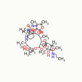 CCCNC[C@]1(O)[C@H](C)O[C@@H](OC2C(C)C(=O)OC(CC)C(C)(O)C(O)C(C)NCC(C)CC(C)(O)C(O[C@@H]3O[C@H](C)C[C@H](N(C)S(=O)(=O)N(C)C4CCCCC4)[C@H]3O)C2C)C[C@@]1(C)OC